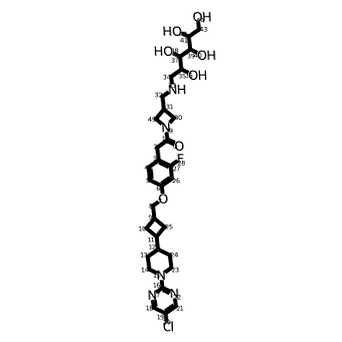 O=C(Cc1ccc(OCC2CC(C3CCN(c4ncc(Cl)cn4)CC3)C2)cc1F)N1CC(CNCC(O)C(O)C(O)C(O)CO)C1